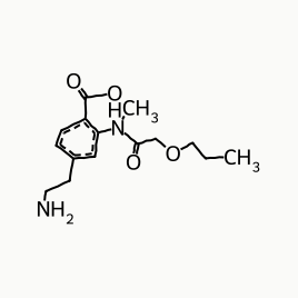 CCCOCC(=O)N(C)c1cc(CCN)ccc1C(=O)O